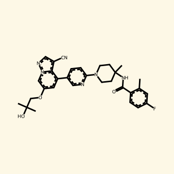 Cc1cc(F)ccc1C(=O)NC1(C)CCN(c2ccc(-c3cc(OCC(C)(C)O)cn4ncc(C#N)c34)cn2)CC1